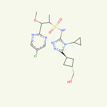 COC(c1ncc(Cl)cn1)C(C)S(=O)(=O)Nc1nnc([C@H]2C[C@H](CO)C2)n1C1CC1